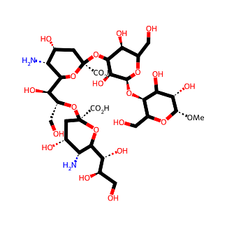 CO[C@@H]1OC(CO)[C@@H](O[C@@H]2OC(CO)[C@H](O)C(O[C@]3(C(=O)O)C[C@@H](O)[C@@H](N)C([C@H](O)[C@@H](CO)O[C@]4(C(=O)O)C[C@@H](O)[C@@H](N)C([C@H](O)[C@H](O)CO)O4)O3)[C@@H]2O)C(O)[C@@H]1O